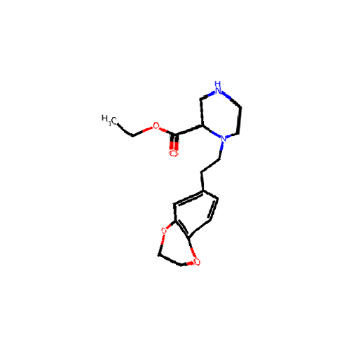 CCOC(=O)C1CNCCN1CCc1ccc2c(c1)OCCO2